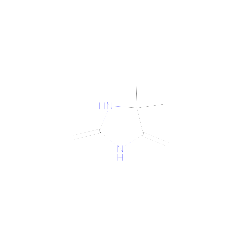 C=C1NC(=C)C(C)(C)N1